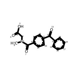 CN(CC(=O)O)C(=O)c1ccc(C(=O)c2ccccc2)cc1